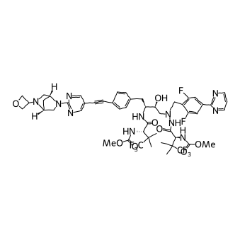 COC(=O)N[C@H](C(=O)N[C@@H](Cc1ccc(C#Cc2cnc(N3C[C@H]4C[C@@H]3CN4C3COC3)nc2)cc1)[C@@H](O)CN(Cc1c(F)cc(-c2ncccn2)cc1F)NC(=O)[C@@H](NC(=O)OC)C(C)(C)C(F)(F)F)C(C)(C)C(F)(F)F